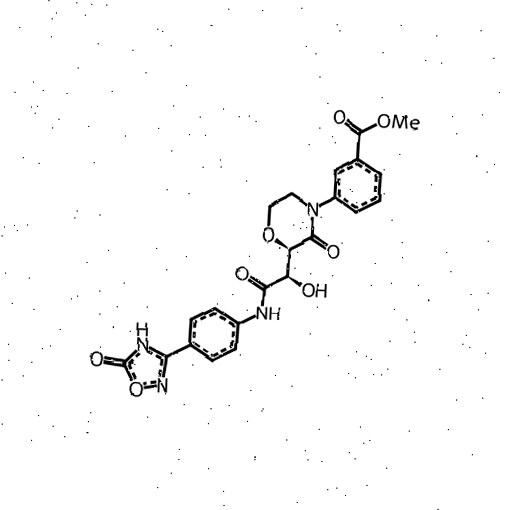 COC(=O)c1cccc(N2CCO[C@H]([C@@H](O)C(=O)Nc3ccc(-c4noc(=O)[nH]4)cc3)C2=O)c1